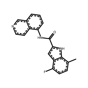 Cc1ccc(F)c2cc(C(=O)Nc3cccc4cnccc34)[nH]c12